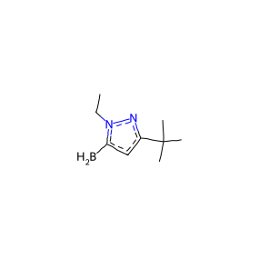 Bc1cc(C(C)(C)C)nn1CC